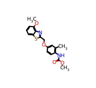 COC(=O)Nc1ccc(OCc2nc3c(OC)cccc3s2)cc1C